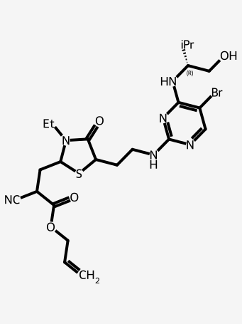 C=CCOC(=O)C(C#N)CC1SC(CCNc2ncc(Br)c(N[C@@H](CO)C(C)C)n2)C(=O)N1CC